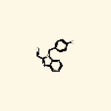 O=Cc1nc2ccccc2n1Cc1ccc(Cl)cc1